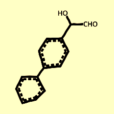 O=CC(O)c1ccc(-c2ccccc2)cc1